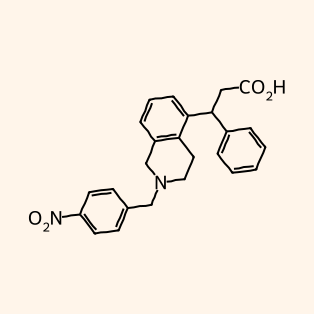 O=C(O)CC(c1ccccc1)c1cccc2c1CCN(Cc1ccc([N+](=O)[O-])cc1)C2